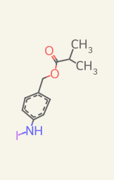 CC(C)C(=O)OCc1ccc(NI)cc1